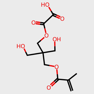 C=C(C)C(=O)OCC(CO)(CO)COC(=O)C(=O)O